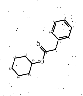 O=C(Cc1ccccc1)OC1CCCCC1